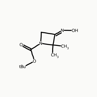 CC(C)(C)OC(=O)N1CC(=NO)C1(C)C